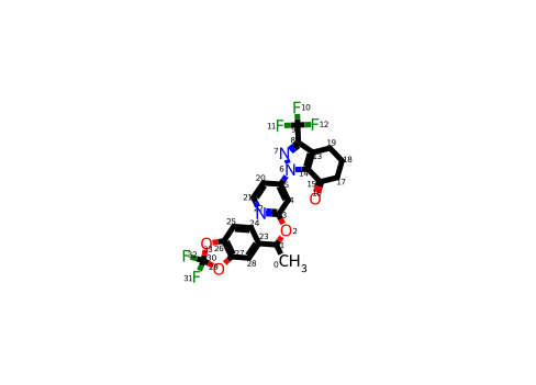 CC(Oc1cc(-n2nc(C(F)(F)F)c3c2C(=O)CCC3)ccn1)c1ccc2c(c1)OC(F)(F)O2